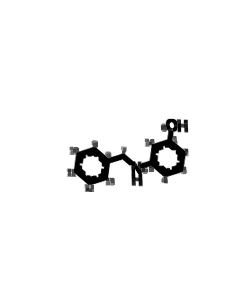 Oc1cccc(NCc2ccccc2)c1